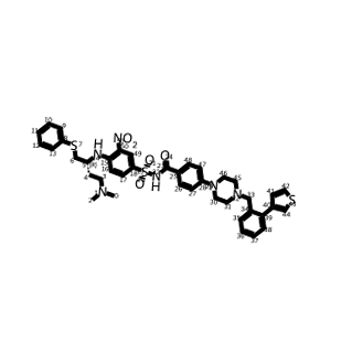 CN(C)CC[C@H](CSc1ccccc1)Nc1ccc(S(=O)(=O)NC(=O)c2ccc(N3CCN(Cc4ccccc4-c4ccsc4)CC3)cc2)cc1[N+](=O)[O-]